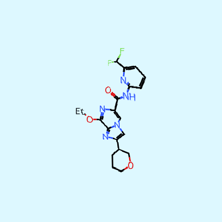 CCOc1nc(C(=O)Nc2cccc(C(F)F)n2)cn2cc(C3CCCOC3)nc12